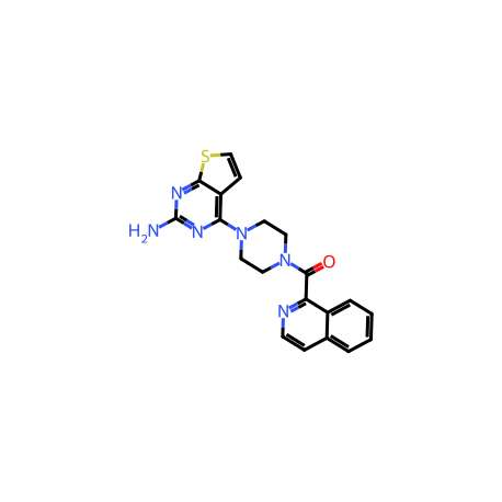 Nc1nc(N2CCN(C(=O)c3nccc4ccccc34)CC2)c2ccsc2n1